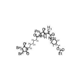 CCC(=O)OCc1ccc(NC(=O)[C@H](C)NC(=O)[C@@H](NC(=O)CCCCCN2C(=O)C(Br)=C(Br)C2=O)C(C)C)cc1